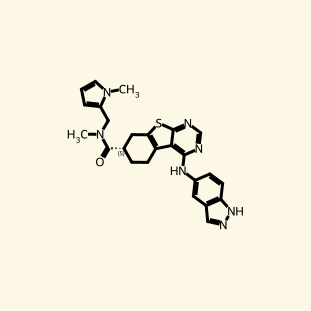 CN(Cc1cccn1C)C(=O)[C@H]1CCc2c(sc3ncnc(Nc4ccc5[nH]ncc5c4)c23)C1